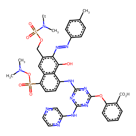 CCN(C)S(=O)(=O)OCc1cc2c(S(=O)(=O)ON(C)C)ccc(Nc3nc(Nc4cnccn4)nc(Oc4ccccc4C(=O)O)n3)c2c(O)c1N=Nc1ccc(C)cc1